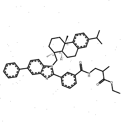 CCOC(=O)C(C)CNC(=O)c1cccc(-c2nc3cc(-c4ccccc4)ccc3n2C[C@@]2(C)CCC[C@]3(C)c4ccc(C(C)C)cc4CC[C@@H]23)c1